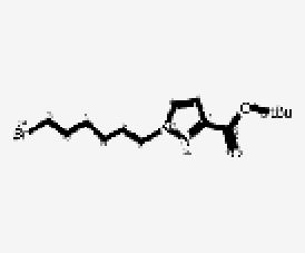 CC(C)(C)OC(=O)c1ccn(CCCCCCBr)n1